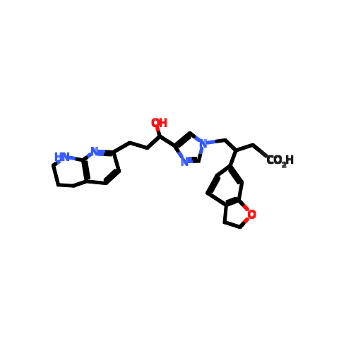 O=C(O)CC(Cn1cnc(C(O)CCc2ccc3c(n2)NCCC3)c1)c1ccc2c(c1)OCC2